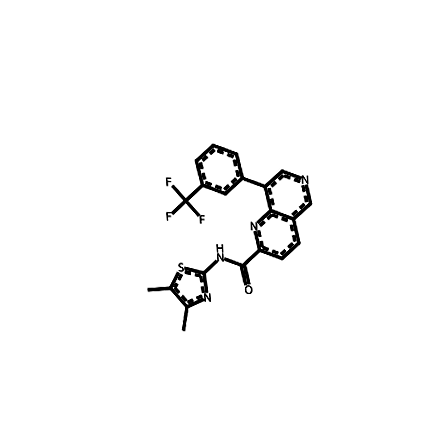 Cc1nc(NC(=O)c2ccc3cncc(-c4cccc(C(F)(F)F)c4)c3n2)sc1C